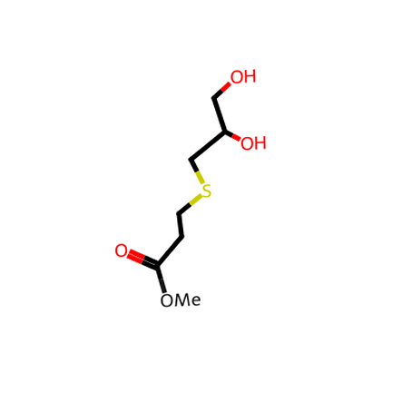 COC(=O)CCSCC(O)CO